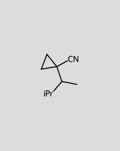 CC(C)C(C)C1(C#N)CC1